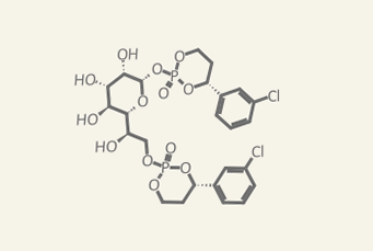 O=P1(OC[C@@H](O)[C@H]2O[C@@H](OP3(=O)OCC[C@H](c4cccc(Cl)c4)O3)[C@@H](O)[C@@H](O)[C@@H]2O)OCC[C@@H](c2cccc(Cl)c2)O1